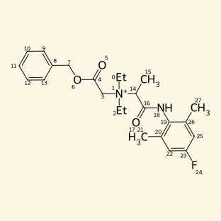 CC[N+](CC)(CC(=O)OCc1ccccc1)C(C)C(=O)Nc1c(C)cc(F)cc1C